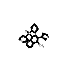 Cc1c(-c2ccoc2)cc(P(=O)(c2ccccc2)c2ccccc2)c2ccccc12